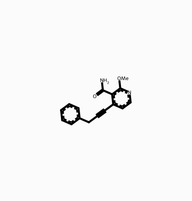 COc1nccc(C#CCc2ccccc2)c1C(N)=O